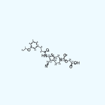 CCOc1cccc(CCC(=O)Nc2sc3c(c2C#N)CCN(C(=O)OCC(=O)O)C3)c1